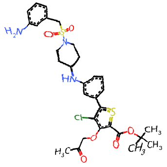 CC(=O)COc1c(C(=O)OC(C)(C)C)sc(-c2cccc(NC3CCN(S(=O)(=O)Cc4cccc(N)c4)CC3)c2)c1Cl